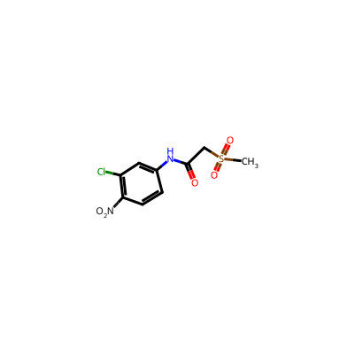 CS(=O)(=O)CC(=O)Nc1ccc([N+](=O)[O-])c(Cl)c1